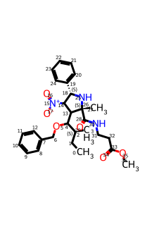 CC[C@H](C)C(OCc1ccccc1)C1C([N+](=O)[O-])[C@H](c2ccccc2)N[C@]1(C)C(=O)NCCC(=O)OC